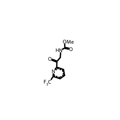 COC(=O)NCC(=O)c1cccc(C(F)(F)F)n1